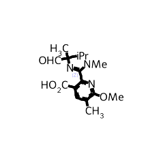 CN/C(=N\C(C)(C=O)C(C)C)c1nc(OC)c(C)cc1C(=O)O